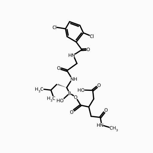 CNC(=O)CC(CC(=O)O)C(=O)OB(O)[C@H](CC(C)C)NC(=O)CNC(=O)c1cc(Cl)ccc1Cl